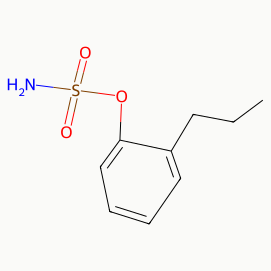 CCCc1ccccc1OS(N)(=O)=O